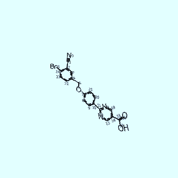 N#Cc1cc(COc2ccc(-c3ncc(C(=O)O)cn3)cc2)ccc1Br